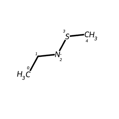 CC[N]SC